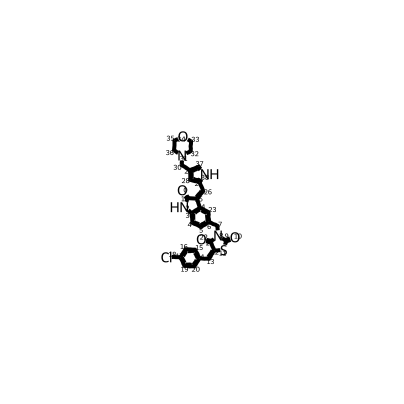 O=C1Nc2ccc(CN3C(=O)SC(=Cc4ccc(Cl)cc4)C3=O)cc2C1=Cc1cc(CN2CCOCC2)c[nH]1